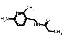 CCC(=O)NCc1ccc(N)nc1C